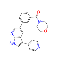 O=C(c1cccc(-c2cnc3[nH]cc(-c4ccncc4)c3c2)c1)N1CCOCC1